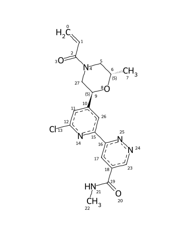 C=CC(=O)N1C[C@H](C)O[C@@H](c2cc(Cl)nc(-c3cc(C(=O)NC)cnn3)c2)C1